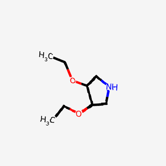 CCOC1CNCC1OCC